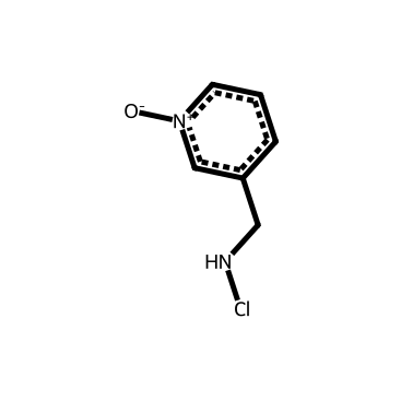 [O-][n+]1cccc(CNCl)c1